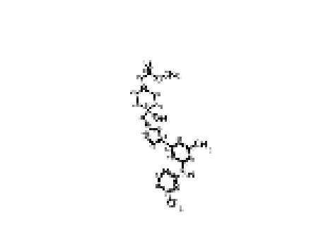 Cc1cc(Nc2nccc(C(F)(F)F)n2)cc(-c2cnn(CC3(O)CCN(CC(=O)OC(C)(C)C)CC3)c2)c1